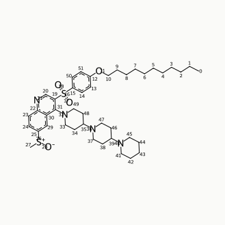 CCCCCCCCCCCOc1ccc(S(=O)(=O)c2cnc3ccc([S+](C)[O-])cc3c2N2CCC(N3CCC(N4CCCCC4)CC3)CC2)cc1